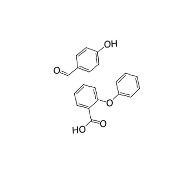 O=C(O)c1ccccc1Oc1ccccc1.O=Cc1ccc(O)cc1